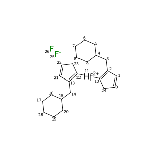 C1=CC(CC2CCCCC2)=[C]([Hf+2][C]2=C(CC3CCCCC3)C=CC2)C1.[F-].[F-]